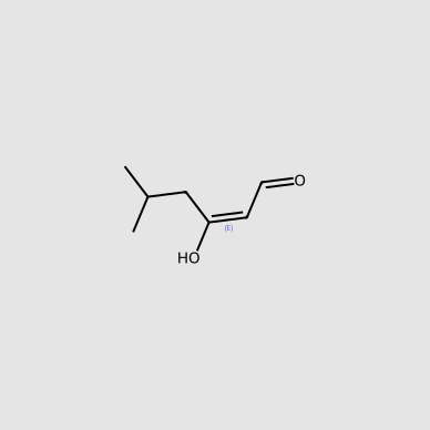 CC(C)C/C(O)=C\C=O